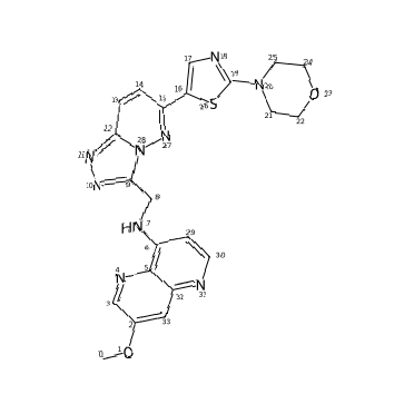 COc1cnc2c(NCc3nnc4ccc(-c5cnc(N6CCOCC6)s5)nn34)ccnc2c1